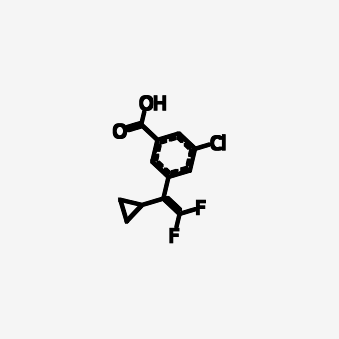 O=C(O)c1cc(Cl)cc(C(=C(F)F)C2CC2)c1